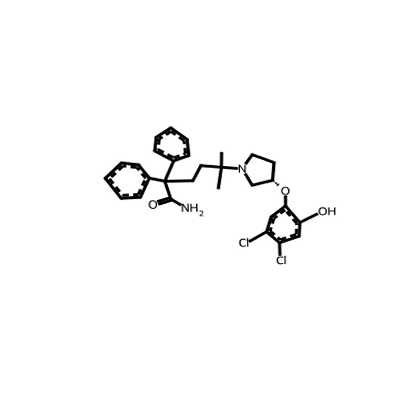 CC(C)(CCC(C(N)=O)(c1ccccc1)c1ccccc1)N1CC[C@H](Oc2cc(Cl)c(Cl)cc2O)C1